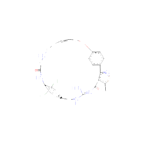 Cc1snc2c1C(=O)/N=C(\N)NCc1cc(Cl)c(c(Cl)c1)NC(=O)CNCC/C=C\COc1ccc-2cc1